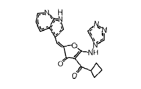 O=C1C(C(=O)C2CCC2)=C(Nn2cnnc2)O/C1=C\c1c[nH]c2ncccc12